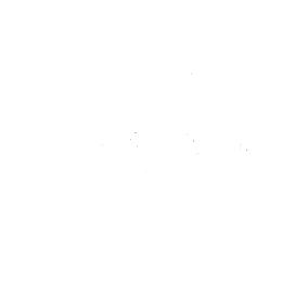 CC(C)c1ccc(C(NC(=O)C2CC(F)CN2C(=O)C2CNC(=O)O2)c2ccccc2)cc1